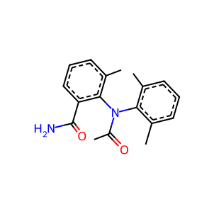 CC(=O)N(c1c(C)cccc1C)c1c(C)cccc1C(N)=O